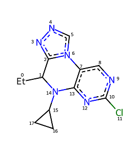 CCC1c2nncn2-c2cnc(Cl)nc2N1C1CC1